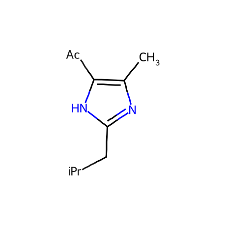 CC(=O)c1[nH]c(CC(C)C)nc1C